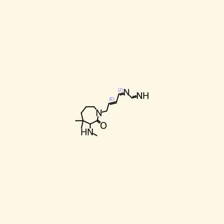 CNC1C(=O)N(C/C=C/C=N\C=N)CCCC1(C)C